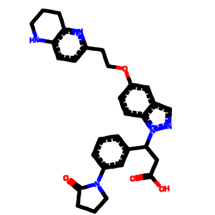 O=C(O)CC(c1cccc(N2CCCC2=O)c1)n1ncc2cc(OCCc3ccc4c(n3)CCCN4)ccc21